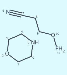 C1COCCN1.N#CCCOP